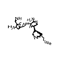 COCCn1cc(-c2cnc(N)c(NCc3cc(N)c(C=N)s3)n2)cn1